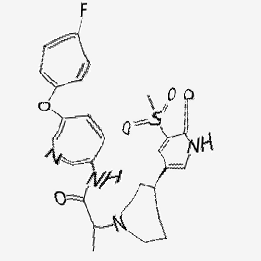 CC(C(=O)Nc1ccc(Oc2ccc(F)cc2)cn1)N1CCC[C@H](c2c[nH]c(=O)c(S(C)(=O)=O)c2)C1